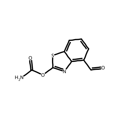 NC(=O)Oc1nc2c(C=O)cccc2s1